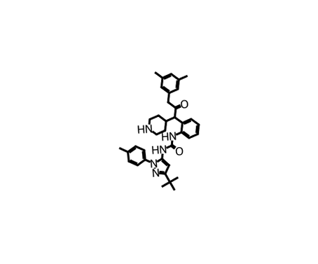 Cc1ccc(-n2nc(C(C)(C)C)cc2NC(=O)Nc2ccccc2C(C(=O)Cc2cc(C)cc(C)c2)C2CCNCC2)cc1